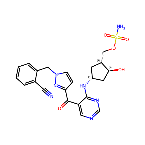 N#Cc1ccccc1Cn1ccc(C(=O)c2cncnc2N[C@@H]2C[C@H](COS(N)(=O)=O)[C@@H](O)C2)n1